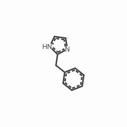 [c]1c[nH]c(Cc2ccccc2)n1